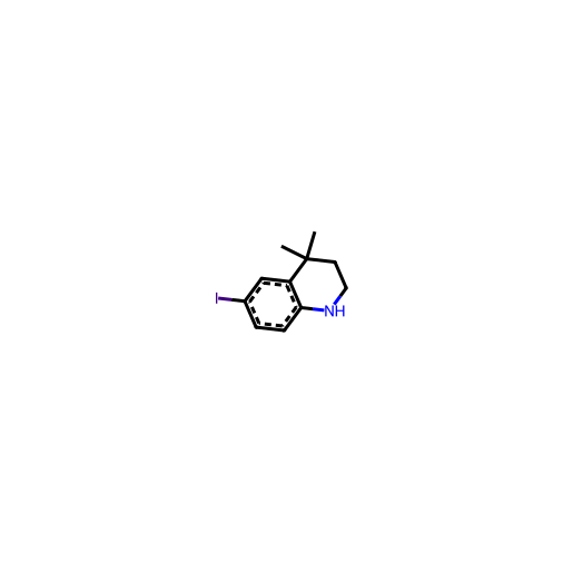 CC1(C)CCNc2ccc(I)cc21